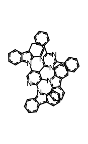 C1=Cc2c(c3ccccc3n2-c2cnc(-n3c4ccccc4c4ccccc43)c(-n3c4ccccc4c4ccccc43)c2-c2nc(-c3ccccc3)nc(-c3ccccc3)n2)CC1